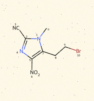 Cn1c(C#N)nc([N+](=O)[O-])c1CCBr